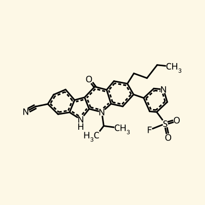 CCCCc1cc2c(=O)c3c4ccc(C#N)cc4[nH]c3n(C(C)C)c2cc1-c1cncc(S(=O)(=O)F)c1